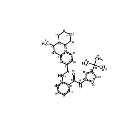 CC(Oc1cc(CNc2ncccc2C(=O)Nc2cc(C(C)(C)C)no2)ccn1)C1CCNCC1